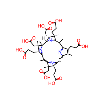 CC1=C(CCC(=O)O)C2=N[C@@]1(C)CC1=N/C(=C(/C)C3=N[C@@](C)([C@@H]4N=C(C2C)[C@](C)(CCC(=O)O)[C@H]4CC(=O)O)[C@@](C)(CC(=O)O)[C@@H]3CCC(=O)O)[C@@](C)(CC(=O)O)[C@@H]1CCC(=O)O